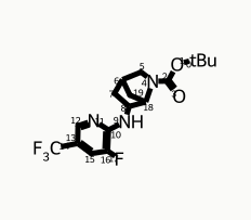 CC(C)(C)OC(=O)N1CC2CC(Nc3ncc(C(F)(F)F)cc3F)C1C2